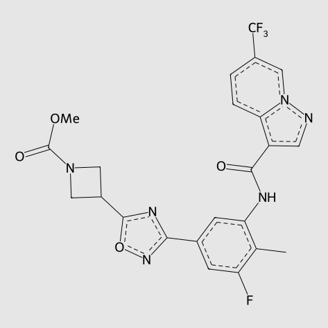 COC(=O)N1CC(c2nc(-c3cc(F)c(C)c(NC(=O)c4cnn5cc(C(F)(F)F)ccc45)c3)no2)C1